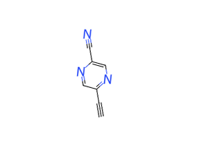 C#Cc1cnc(C#N)cn1